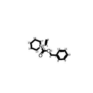 C=C[N+]1(C(=O)OCc2ccccc2)CCCCC1